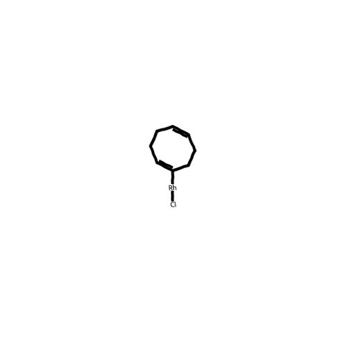 [Cl][Rh][C]1=CCCC=CCC1